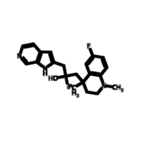 CC(C)C(O)(Cc1cc2ccncc2[nH]1)CC1(C)CCN(C)c2ccc(F)cc21